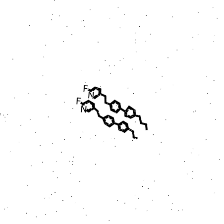 CCCCc1ccc(-c2ccc(CCc3ccc(F)nc3)cc2)cc1.CCCc1ccc(-c2ccc(CCc3ccc(F)nc3)cc2)cc1